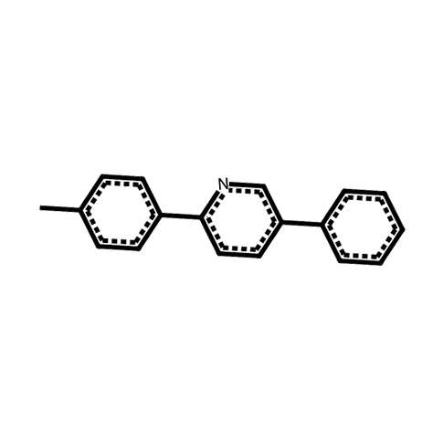 Cc1ccc(-c2ccc(-c3ccccc3)cn2)cc1